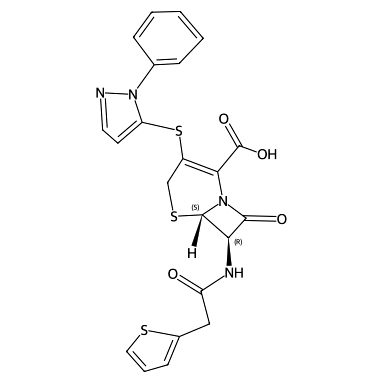 O=C(Cc1cccs1)N[C@@H]1C(=O)N2C(C(=O)O)=C(Sc3ccnn3-c3ccccc3)CS[C@@H]12